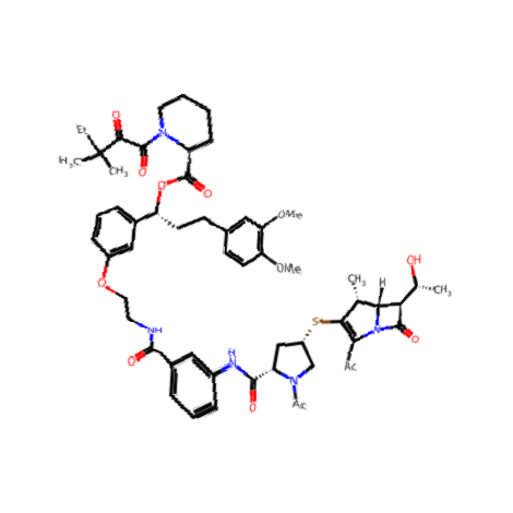 CCC(C)(C)C(=O)C(=O)N1CCCC[C@H]1C(=O)O[C@H](CCc1ccc(OC)c(OC)c1)c1cccc(OCCNC(=O)c2cccc(NC(=O)[C@@H]3C[C@H](SC4=C(C(C)=O)N5C(=O)[C@H]([C@@H](C)O)[C@H]5[C@H]4C)CN3C(C)=O)c2)c1